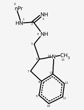 CCCNC(=N)NCC1Cc2ccccc2N1C